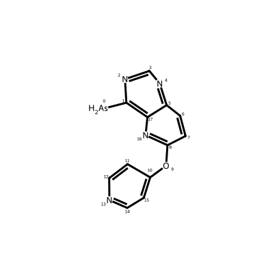 [AsH2]c1ncnc2ccc(Oc3ccncc3)nc12